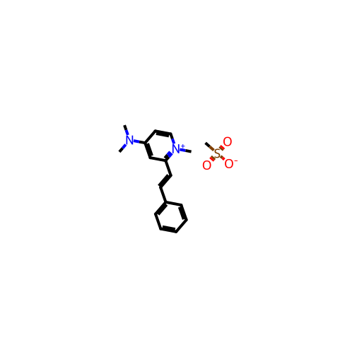 CN(C)c1cc[n+](C)c(C=Cc2ccccc2)c1.CS(=O)(=O)[O-]